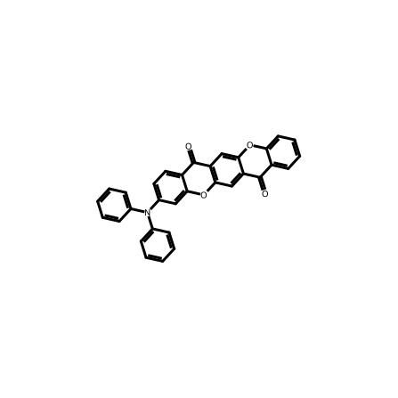 O=c1c2ccccc2oc2cc3c(=O)c4ccc(N(c5ccccc5)c5ccccc5)cc4oc3cc12